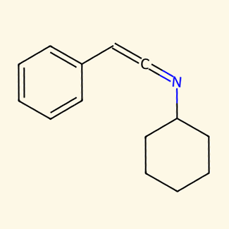 C(=Cc1ccccc1)=NC1CCCCC1